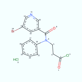 Cl.O=C(Cl)CCN(C(=O)c1cncc(Br)c1)c1ccccc1